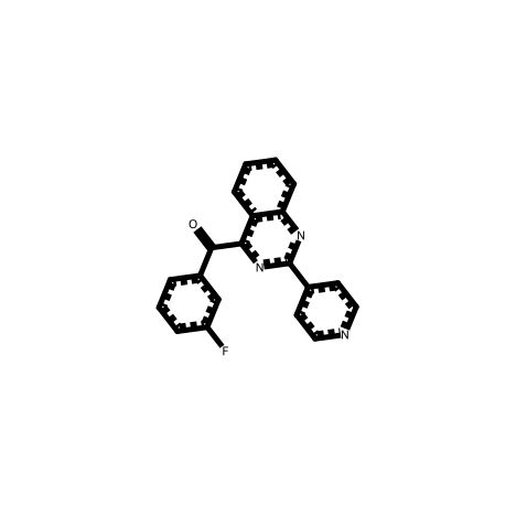 O=C(c1cccc(F)c1)c1nc(-c2ccncc2)nc2ccccc12